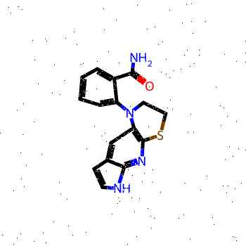 NC(=O)c1ccccc1N1CCSc2nc3[nH]ccc3cc21